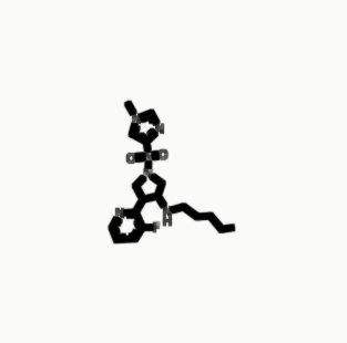 CCCCCNC1CN(S(=O)(=O)c2cn(C)cn2)CC1c1ncccc1F